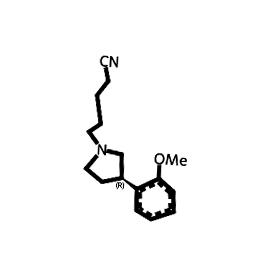 COc1ccccc1[C@H]1CCN(CCCCC#N)C1